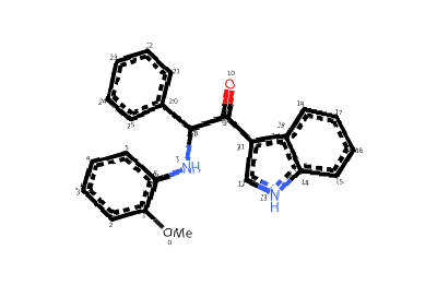 COc1ccccc1NC(C(=O)c1c[nH]c2ccccc12)c1ccccc1